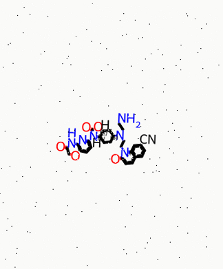 N#Cc1ccc2ccc(=O)n(CCN(CCN)[C@H]3CC[C@H]4[C@@H](C3)OC(=O)N4c3ccc4c(n3)NC(=O)CO4)c2c1